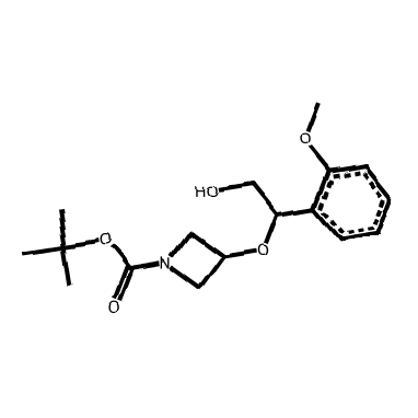 COc1ccccc1C(CO)OC1CN(C(=O)OC(C)(C)C)C1